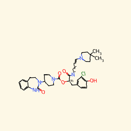 CC1(C)CCN(C=C=C=NC(=O)[C@@H](Cc2ccc(O)c(Cl)c2)OC(=O)N2CCC(N3CCc4ccccc4NC3=O)CC2)CC1